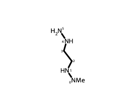 CNNCCNN